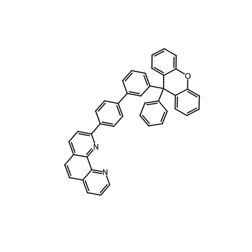 c1ccc(C2(c3cccc(-c4ccc(-c5ccc6ccc7cccnc7c6n5)cc4)c3)c3ccccc3Oc3ccccc32)cc1